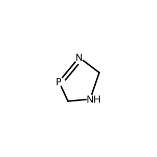 C1N=PCN1